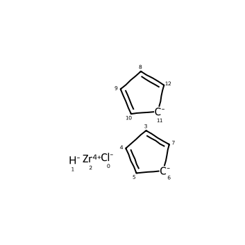 [Cl-].[H-].[Zr+4].c1cc[cH-]c1.c1cc[cH-]c1